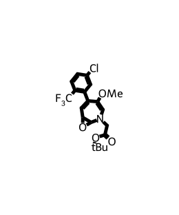 COC1=CN(CC(=O)OC(C)(C)C)C2OC2C=C1c1cc(Cl)ccc1C(F)(F)F